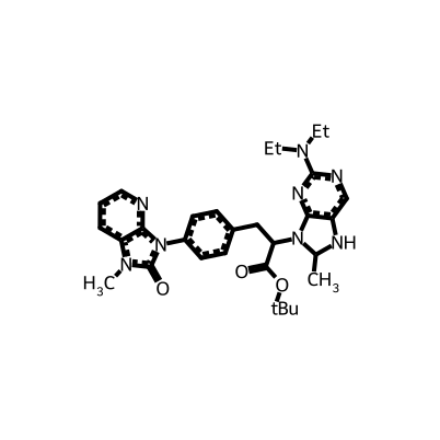 CCN(CC)c1ncc2c(n1)N(C(Cc1ccc(-n3c(=O)n(C)c4cccnc43)cc1)C(=O)OC(C)(C)C)C(C)N2